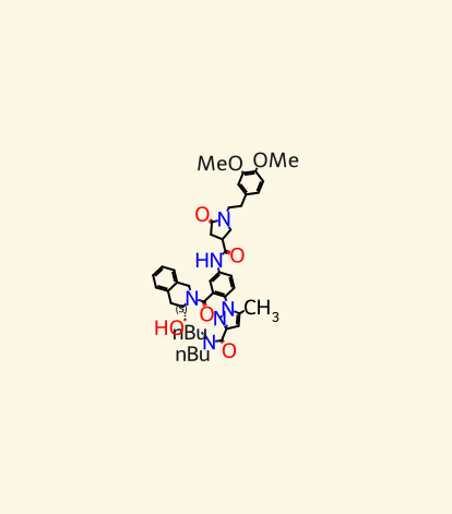 CCCCN(CCCC)C(=O)c1cc(C)n(-c2ccc(NC(=O)C3CC(=O)N(CCc4ccc(OC)c(OC)c4)C3)cc2C(=O)N2Cc3ccccc3C[C@H]2CO)n1